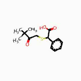 CC(C)(C)C(=O)CSC(C(=O)O)c1ccccc1